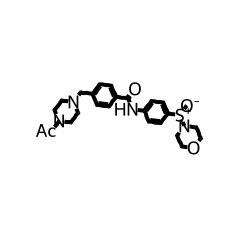 CC(=O)N1CCN(Cc2ccc(C(=O)Nc3ccc([S+]([O-])N4CCOCC4)cc3)cc2)CC1